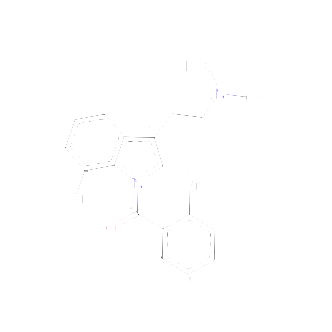 CCc1cccc2c(CCN(C)C)cn(C(=O)c3ccccc3Br)c12